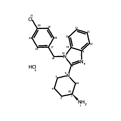 Cl.N[C@H]1CCCN(c2nc3ccccc3n2Cc2ccc(Cl)cc2)C1